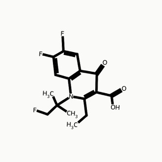 CCc1c(C(=O)O)c(=O)c2cc(F)c(F)cc2n1C(C)(C)CF